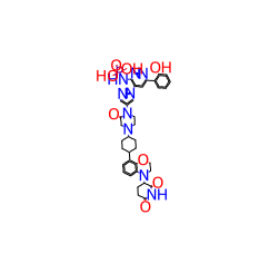 O=C1CC[C@H](N2CCOc3c(C4CCC(N5CCN(c6cnn(-c7cc(-c8ccccc8O)nnc7NP(=O)(O)O)c6)C(=O)C5)CC4)cccc32)C(=O)N1